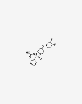 O=C(O)N[C@H](C(=O)N1CCC(Oc2ccc(F)c(F)c2)CC1)c1ccccc1